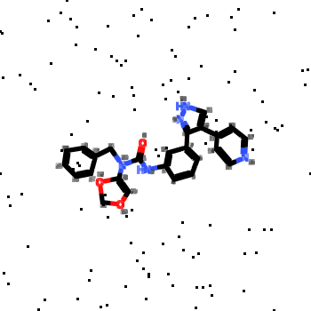 O=C(Nc1cccc(-c2n[nH]cc2-c2ccncc2)c1)N(Cc1ccccc1)C1=COCO1